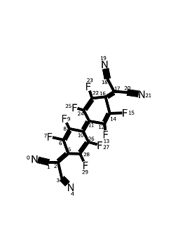 N#CC(C#N)=c1c(F)c(F)c(=c2c(F)c(F)c(=C(C#N)C#N)c(F)c2F)c(F)c1F